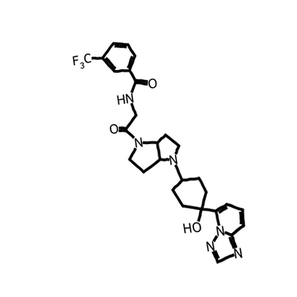 O=C(NCC(=O)N1CCC2C1CCN2C1CCC(O)(c2cccc3ncnn23)CC1)c1cccc(C(F)(F)F)c1